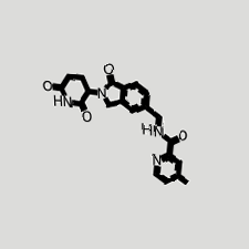 Cc1ccnc(C(=O)NCc2ccc3c(c2)CN(C2CCC(=O)NC2=O)C3=O)c1